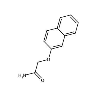 NC(=O)COc1[c]c2ccccc2cc1